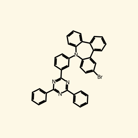 Brc1ccc2c(c1)-c1ccccc1-c1ccccc1N2c1cccc(-c2nc(-c3ccccc3)nc(-c3ccccc3)n2)c1